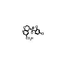 O=C(O)c1cnc2c(c1)N(S(=O)(=O)c1ccc(Cl)cc1Cl)CCO2